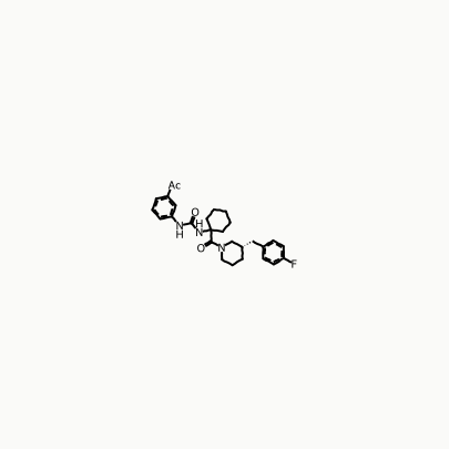 CC(=O)c1cccc(NC(=O)NC2(C(=O)N3CCC[C@@H](Cc4ccc(F)cc4)C3)CCCCC2)c1